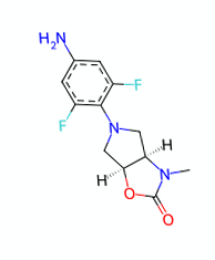 CN1C(=O)O[C@H]2CN(c3c(F)cc(N)cc3F)C[C@H]21